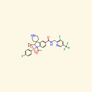 CC(=O)[N+]1(S(=O)(=O)c2ccc(F)cc2)c2ccc(C(=O)NCc3ncc(C(F)(F)F)cc3F)cc2C2(CCNCC2)C1C1CC1